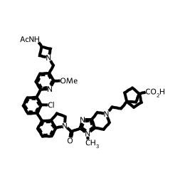 COc1nc(-c2cccc(-c3cccc4c3CCN4C(=O)c3nc4c(n3C)CCN(CCC35CCC(C(=O)O)(CC3)C5)C4)c2Cl)ccc1CN1CC(NC(C)=O)C1